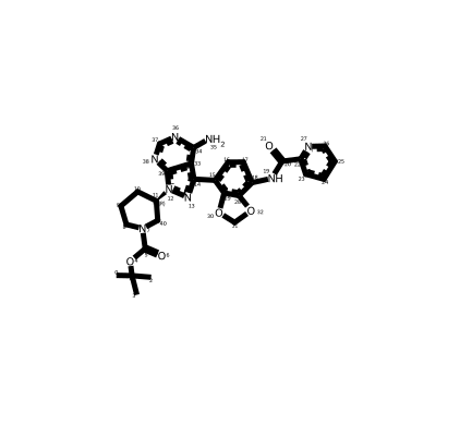 CC(C)(C)OC(=O)N1CCC[C@@H](n2nc(-c3ccc(NC(=O)c4ccccn4)c4c3OCO4)c3c(N)ncnc32)C1